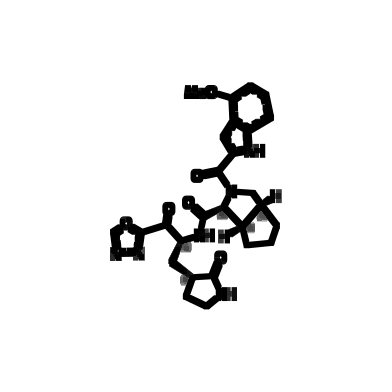 COc1cccc2[nH]c(C(=O)N3C[C@@H]4CCC[C@@H]4[C@H]3C(=O)N[C@@H](C[C@@H]3CCNC3=O)C(=O)c3nnco3)cc12